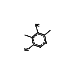 [C-]#[N+]c1c(C)ncc(C#N)c1C